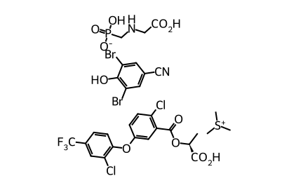 C[C@H](OC(=O)c1cc(Oc2ccc(C(F)(F)F)cc2Cl)ccc1Cl)C(=O)O.C[S+](C)C.N#Cc1cc(Br)c(O)c(Br)c1.O=C(O)CNCP(=O)([O-])O